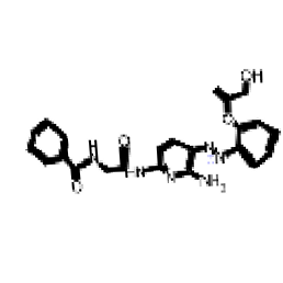 C=C(CO)Oc1ccccc1/N=N/c1ccc(NC(=O)CNC(=O)c2ccccc2)nc1N